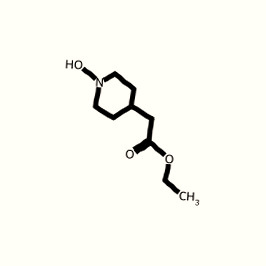 CCOC(=O)CC1CCN(O)CC1